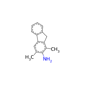 Cc1cc2c(c(C)c1N)Cc1ccccc1-2